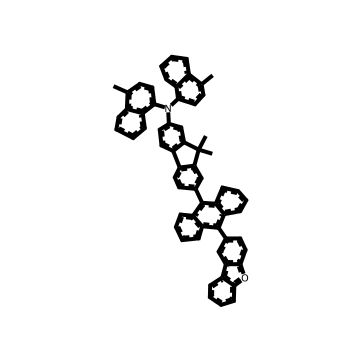 Cc1ccc(N(c2ccc3c(c2)C(C)(C)c2cc(-c4c5ccccc5c(-c5ccc6oc7ccccc7c6c5)c5ccccc45)ccc2-3)c2ccc(C)c3ccccc23)c2ccccc12